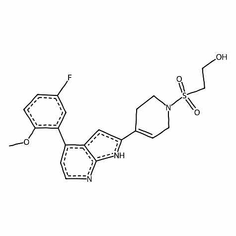 COc1ccc(F)cc1-c1ccnc2[nH]c(C3=CCN(S(=O)(=O)CCO)CC3)cc12